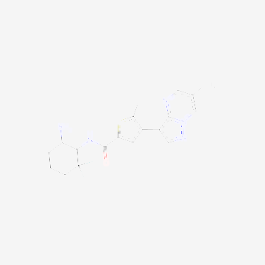 CCc1sc(C(=O)NC2C(N)CCCC2(F)F)cc1-c1cnn2cc(C)cnc12